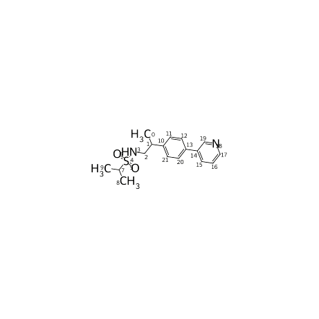 CC(CNS(=O)(=O)C(C)C)c1ccc(-c2cccnc2)cc1